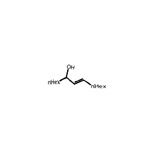 [CH2]CCCCCC(O)C=CCCCCCC